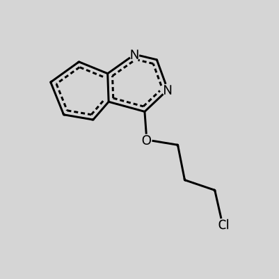 ClCCCOc1ncnc2ccccc12